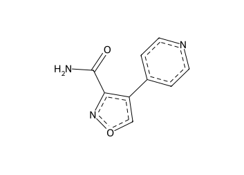 NC(=O)c1nocc1-c1ccncc1